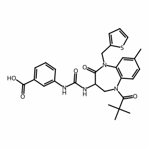 Cc1ccc2c(c1)N(Cc1cccs1)C(=O)C(NC(=O)Nc1cccc(C(=O)O)c1)CN2C(=O)C(C)(C)C